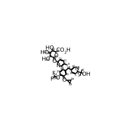 CC(C)(O)c1ccc([C@@H](Cc2ccc(O[C@@H]3OC(C(=O)O)[C@@H](O)[C@@H](O)C3O)nc2)c2ccc(OC(F)F)c(OC3CC3)c2)cn1